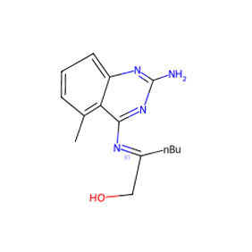 CCCC/C(CO)=N\c1nc(N)nc2cccc(C)c12